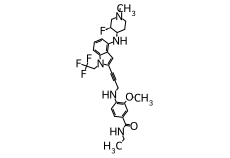 CCNC(=O)c1ccc(NCC#Cc2cc3c(N[C@@H]4CCN(C)C[C@@H]4F)cccc3n2CC(F)(F)F)c(OC)c1